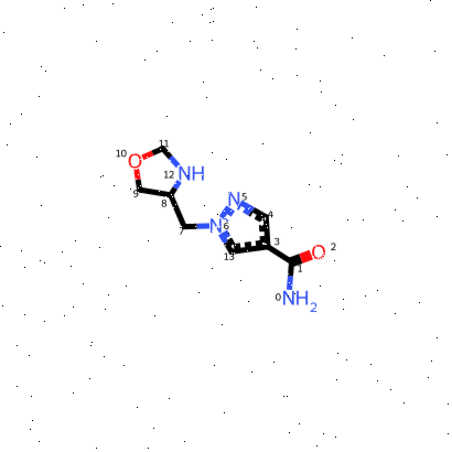 NC(=O)c1cnn(CC2COCN2)c1